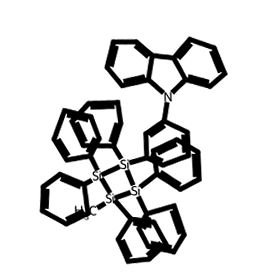 C[Si]1(c2ccccc2)[Si](c2ccccc2)(c2ccccc2)[Si](c2ccccc2)(c2cccc(-n3c4ccccc4c4ccccc43)c2)[Si]1(c1ccccc1)c1ccccc1